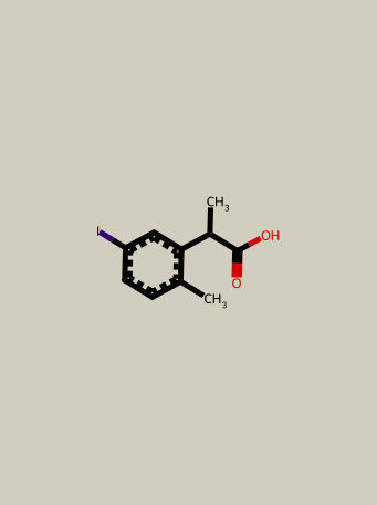 Cc1ccc(I)cc1C(C)C(=O)O